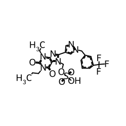 CCCn1c(=O)c2c(nc(-c3cnn(Cc4cccc(C(F)(F)F)c4)c3)n2COS(=O)(=O)O)n(CC)c1=O